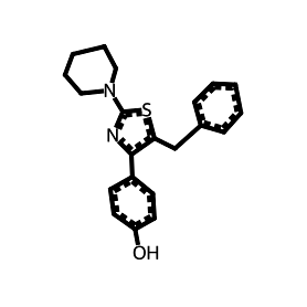 Oc1ccc(-c2nc(N3CCCCC3)sc2Cc2ccccc2)cc1